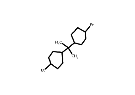 CCC1CCC(C(C)(C)C2CCC(CC)CC2)CC1